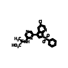 C[C@H](Nc1cncc(-c2cn(S(=O)(=O)c3ccccc3)c3ncc(Cl)cc23)n1)C(=O)O